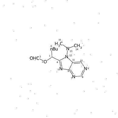 CCCCC(O[C]=O)c1nc2ncncc2n1N(C)C